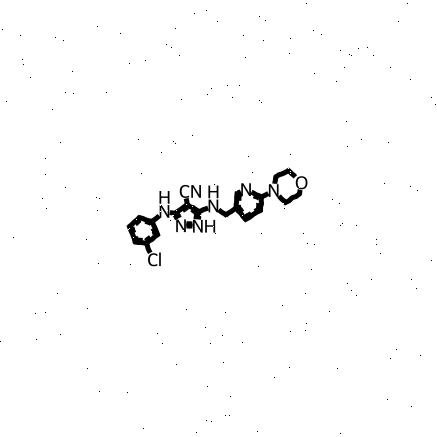 N#Cc1c(Nc2cccc(Cl)c2)n[nH]c1NCc1ccc(N2CCOCC2)nc1